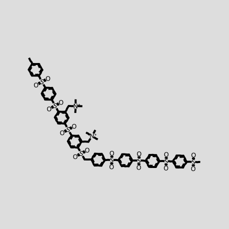 Cc1ccc(S(=O)(=O)c2ccc(S(=O)(=O)c3ccc(S(=O)(=O)c4ccc(S(=O)(=O)Cc5ccc(S(=O)(=O)c6ccc(S(=O)(=O)c7ccc(S(=O)(=O)c8ccc(S(C)(=O)=O)cc8)cc7)cc6)cc5)c(C[N+](C)(C)C)c4)cc3C[N+](C)(C)C)cc2)cc1